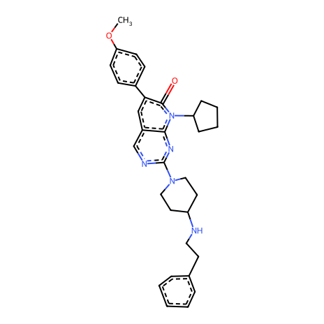 COc1ccc(-c2cc3cnc(N4CCC(NCCc5ccccc5)CC4)nc3n(C3CCCC3)c2=O)cc1